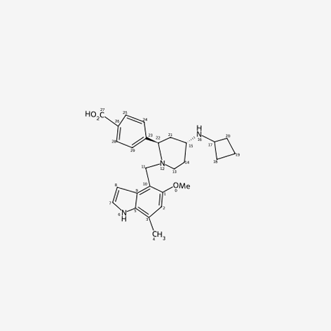 COc1cc(C)c2[nH]ccc2c1CN1CC[C@@H](NC2CCC2)C[C@@H]1c1ccc(C(=O)O)cc1